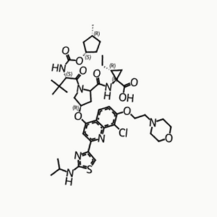 CC[C@@H]1C[C@]1(NC(=O)C1C[C@@H](Oc2cc(-c3csc(NC(C)C)n3)nc3c(Cl)c(OCCN4CCOCC4)ccc23)CN1C(=O)[C@@H](NC(=O)O[C@H]1CC[C@@H](C)C1)C(C)(C)C)C(=O)O